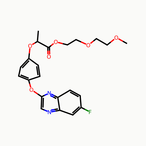 COCCOCCOC(=O)C(C)Oc1ccc(Oc2cnc3cc(F)ccc3n2)cc1